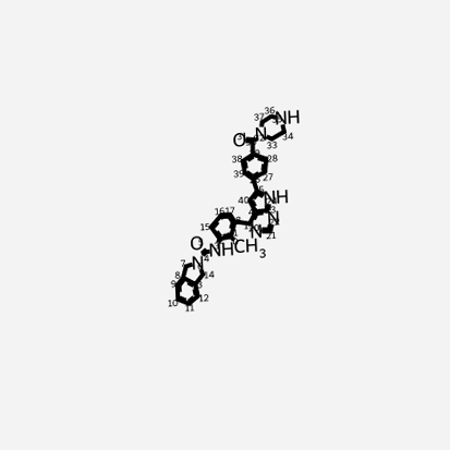 Cc1c(NC(=O)N2Cc3ccccc3C2)cccc1-c1ncnc2[nH]c(-c3ccc(C(=O)N4CCNCC4)cc3)cc12